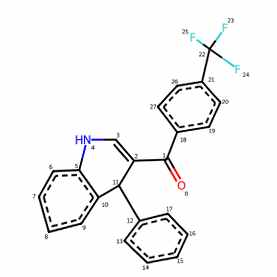 O=C(C1=CNc2ccccc2C1c1ccccc1)c1ccc(C(F)(F)F)cc1